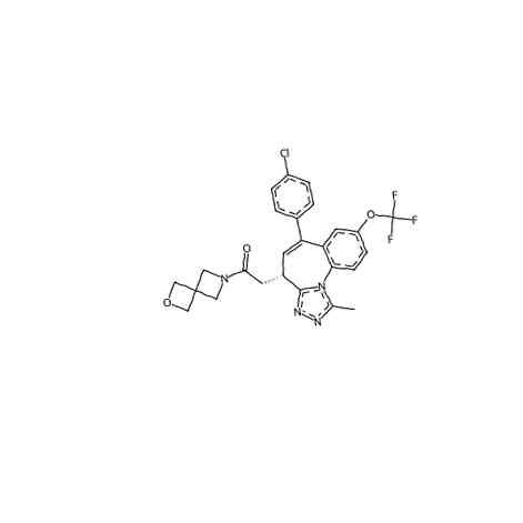 Cc1nnc2n1-c1ccc(OC(F)(F)F)cc1C(c1ccc(Cl)cc1)=C[C@H]2CC(=O)N1CC2(COC2)C1